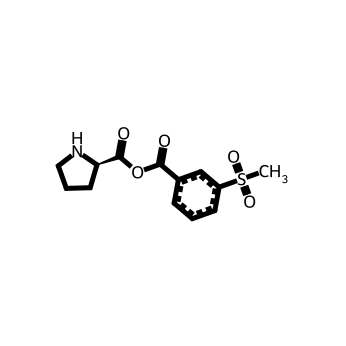 CS(=O)(=O)c1cccc(C(=O)OC(=O)[C@H]2CCCN2)c1